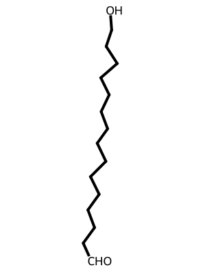 O=CCCCCCCCCCCCCCCO